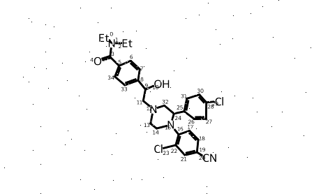 CCN(CC)C(=O)c1ccc(C(O)CN2CCN(c3ccc(C#N)cc3Cl)C(c3ccc(Cl)cc3)C2)cc1